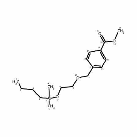 CCCC[Si](C)(C)OCCOCc1ccc(C(=O)OC)cc1